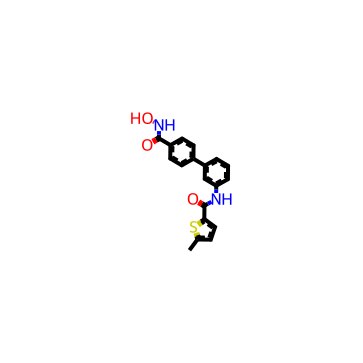 Cc1ccc(C(=O)Nc2cccc(-c3ccc(C(=O)NO)cc3)c2)s1